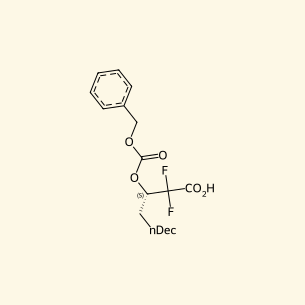 CCCCCCCCCCC[C@H](OC(=O)OCc1ccccc1)C(F)(F)C(=O)O